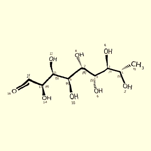 C[C@H](O)[C@H](O)[C@H](O)[C@@H](O)[C@@H](O)[C@H](O)[C@@H](O)C=O